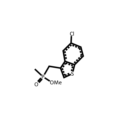 COP(C)(=O)Cc1csc2ccc(Cl)cc12